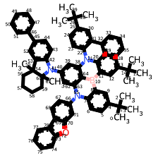 CC(C)(C)c1ccc2c(c1)B1c3cc(C(C)(C)C)ccc3N(c3ccc(C(C)(C)C)cc3-c3ccccc3)c3cc(N4c5ccc(-c6ccccc6)cc5C5(C)CCCCC45C)cc(c31)N2c1ccc2c(c1)oc1ccccc12